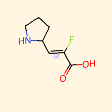 O=C(O)/C(F)=C/C1CCCN1